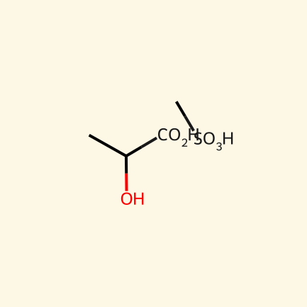 CC(O)C(=O)O.CS(=O)(=O)O